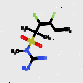 C=C/C(F)=C(/F)C(C)(C)S(=O)(=O)N(C)C(=N)N